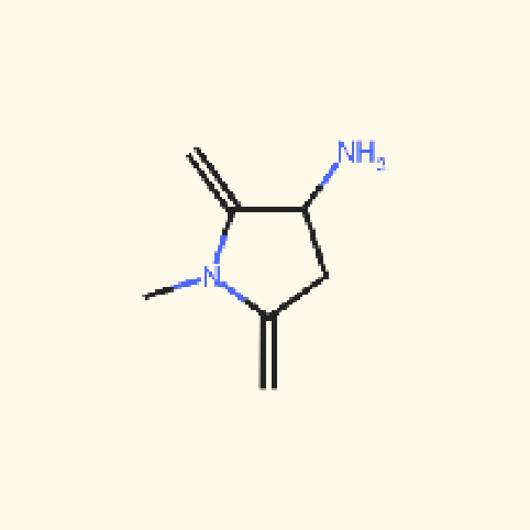 C=C1CC(N)C(=C)N1C